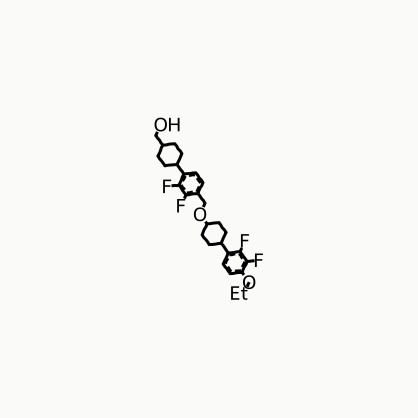 CCOc1ccc(C2CCC(OCc3ccc(C4CCC(CO)CC4)c(F)c3F)CC2)c(F)c1F